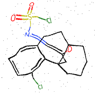 O=S(=O)(Cl)/N=C1/CC23CCCCC2(CCc2cccc(Cl)c23)O1